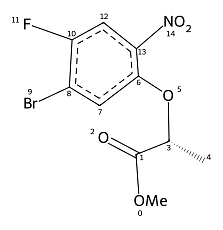 COC(=O)[C@@H](C)Oc1cc(Br)c(F)cc1[N+](=O)[O-]